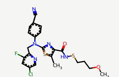 COCCCSNC(=O)c1nc(N(Cc2ncc(Cl)cc2F)c2ccc(C#N)cc2)sc1C